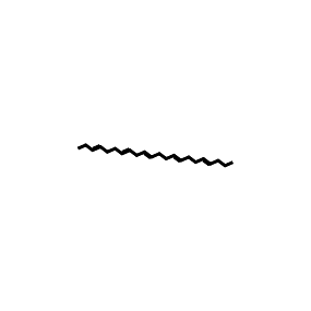 CCC=CCCC=CCC=CCCC=CCCC=CCCC